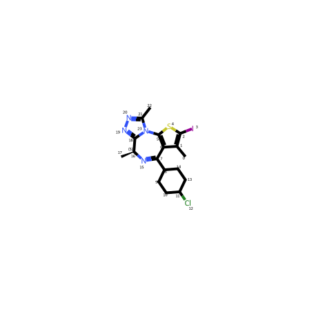 Cc1c(I)sc2c1C(C1CCC(Cl)CC1)=N[C@@H](C)c1nnc(C)n1-2